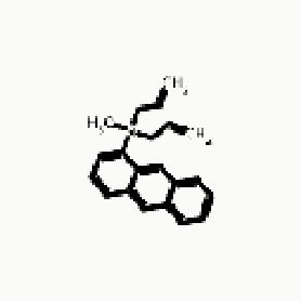 C=CC[Si](C)(CC=C)c1cccc2cc3ccccc3cc12